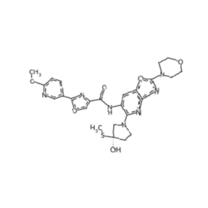 COc1ccc(-c2nc(C(=O)Nc3cc4oc(N5CCOCC5)nc4nc3N3CC[C@@](O)(SC)C3)co2)cn1